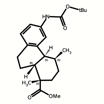 COC(=O)[C@@]1(C)CC[C@H](C)[C@@H]2c3cc(NC(=O)OC(C)(C)C)ccc3CC[C@H]21